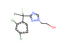 CCC(F)(c1ncn(CCO)n1)c1ccc(Cl)cc1Cl